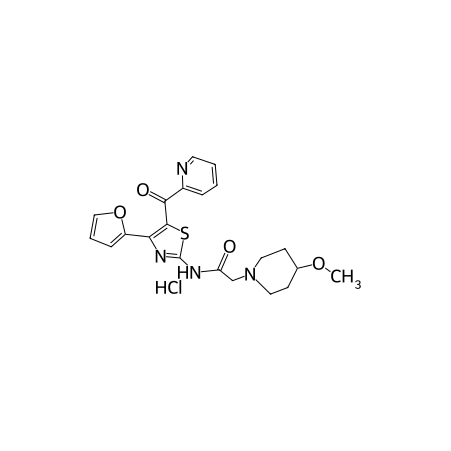 COC1CCN(CC(=O)Nc2nc(-c3ccco3)c(C(=O)c3ccccn3)s2)CC1.Cl